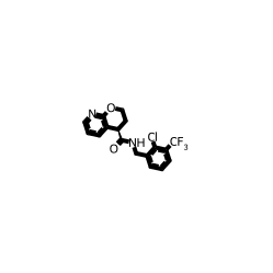 O=C(NCc1cccc(C(F)(F)F)c1Cl)[C@@H]1CCOc2ncccc21